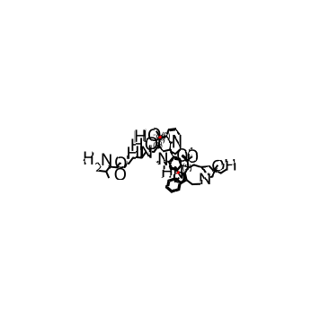 CCC1(O)CC2CN(CCc3c([nH]c4ccccc34)[C@@](C(=O)OC)(c3cc4c(cc3OC)N(C)C3C45CCN4CC=C[C@](CC)(C45)[C@@H](O)[C@]3(O)CNCCCOC(=O)C(N)C(C)C)C2)C1